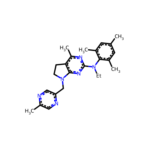 CCN(c1nc(C)c2c(n1)N(Cc1cnc(C)cn1)CC2)c1c(C)cc(C)cc1C